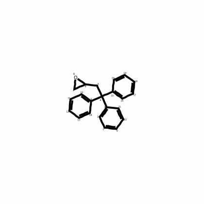 c1ccc(C(CC2CO2)(c2ccccc2)c2ccccc2)cc1